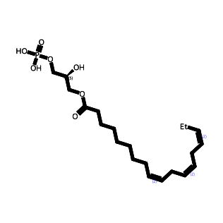 CC/C=C\C/C=C\C/C=C\CCCCCCCC(=O)OC[C@H](O)COP(=O)(O)O